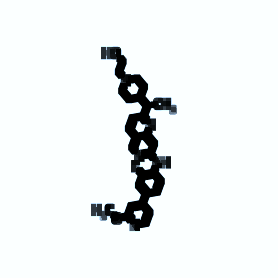 COc1cc(-c2ccc(Nc3cc4nc([C@H](C)C5CCN(CCO)CC5)ccc4cn3)c(F)c2)ccn1